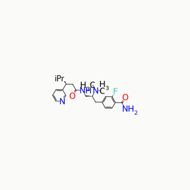 CC(C)[C@@H](CC(=O)NC[C@H](Cc1ccc(C(N)=O)c(F)c1)N(C)C)c1cccnc1